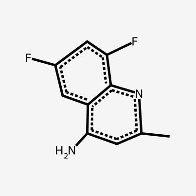 Cc1cc(N)c2cc(F)cc(F)c2n1